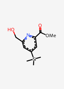 COC(=O)c1cc([Si](C)(C)C)cc(CO)n1